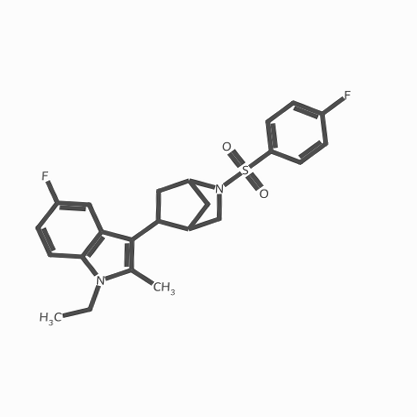 CCn1c(C)c(C2CC3CC2CN3S(=O)(=O)c2ccc(F)cc2)c2cc(F)ccc21